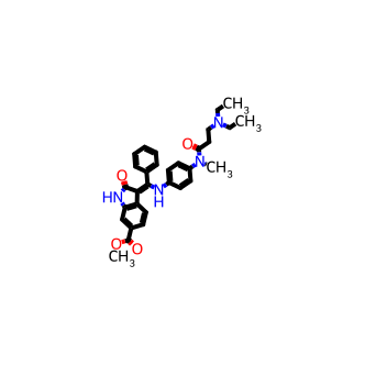 CCN(CC)CCC(=O)N(C)c1ccc(N/C(=C2/C(=O)Nc3cc(C(=O)OC)ccc32)c2ccccc2)cc1